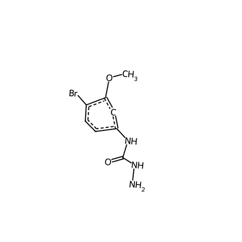 COc1cc(NC(=O)NN)ccc1Br